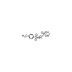 Cc1ccc(S(=O)(=O)NCCP(C)(=O)O)cc1